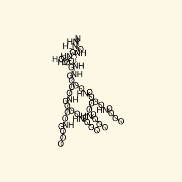 COCCOCCOCC(=O)NCCOCCOCC(COCCOCCNC(=O)COCCOCCOC)OCC(=O)NCCOCCOCC(COCCOCCNC(=O)COC(COCCOCCNC(=O)COCCOCCOC)COCCOCCNC(=O)COCCOCCOC)OCC(=O)NCCC(=O)NCCCC[C@H](NCC(=O)[C@@H](N)Cc1cnc[nH]1)C(=O)CN[C@@H](CC(=O)O)C(=O)O